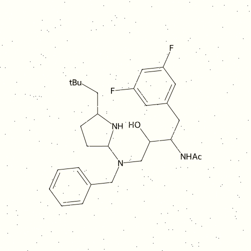 CC(=O)NC(Cc1cc(F)cc(F)c1)C(O)CN(Cc1ccccc1)C1CCC(CC(C)(C)C)N1